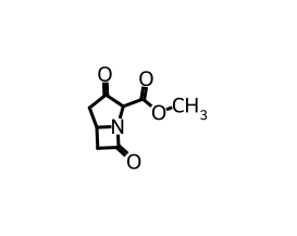 COC(=O)C1C(=O)CC2CC(=O)N21